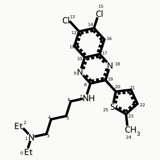 CCN(CC)CCCCNc1nc2cc(Cl)c(Cl)cc2nc1-c1ccc(C)s1